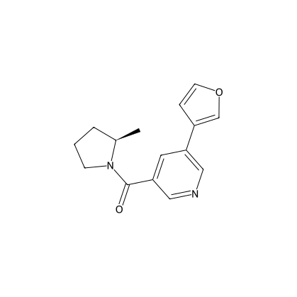 C[C@@H]1CCCN1C(=O)c1cncc(-c2ccoc2)c1